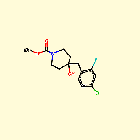 CC(C)(C)OC(=O)N1CCC(O)(Cc2ccc(Cl)cc2F)CC1